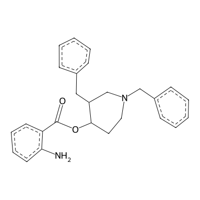 Nc1ccccc1C(=O)OC1CCN(Cc2ccccc2)CC1Cc1ccccc1